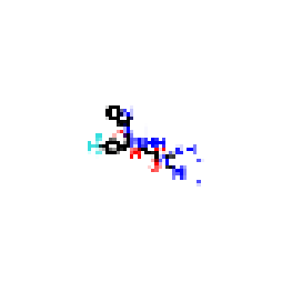 NCCN(CCN)C(=O)C(=O)C[C@H](N)C(=O)N/C(=C/c1ccc(C(F)(F)F)cc1)C(=O)Nc1cnc2ccccc2c1